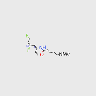 C=C/C(=C\C(F)=C/CF)NC(=O)CCCCNC